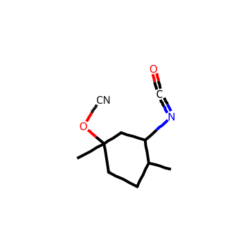 CC1CCC(C)(OC#N)CC1N=C=O